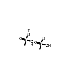 CCP(C)(=O)O.CCP(C)(=O)O.[Ti]